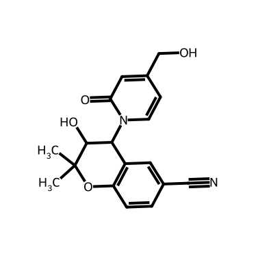 CC1(C)Oc2ccc(C#N)cc2C(n2ccc(CO)cc2=O)C1O